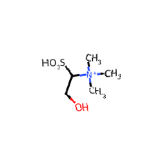 C[N+](C)(C)C(CO)S(=O)(=O)O